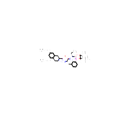 COc1cc2c(c(OC)c1)CCC(C(=O)N[C@@H](Cc1ccccc1)C(=O)N[C@@H](CC(C)C)B1OC(C)(C)C(C)(C)O1)C2